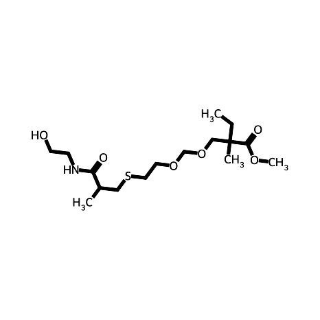 CCC(C)(COCOCCSCC(C)C(=O)NCCO)C(=O)OC